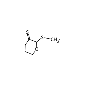 [CH2]SC1OCCCC1=S